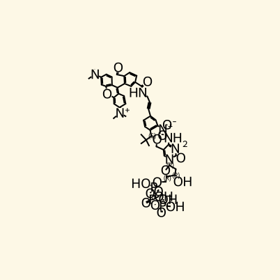 CN(C)c1ccc2c(-c3cc(C(=O)NCC#Cc4ccc([C@@H](OCc5cn([C@H]6C[C@@H](O)[C@@H](COP(=O)(O)OP(=O)(O)OP(=O)(O)O)O6)c(=O)nc5N)C(C)(C)C)c([N+](=O)[O-])c4)ccc3C=O)c3ccc(=[N+](C)C)cc-3oc2c1